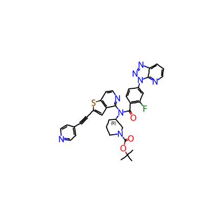 CC(C)(C)OC(=O)N1CCC[C@@H](N(C(=O)c2ccc(-n3nnc4cccnc43)cc2F)c2nccc3sc(C#Cc4ccncc4)cc23)C1